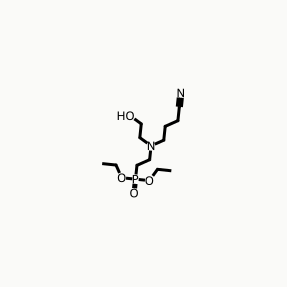 CCOP(=O)(CCN(CCO)CCCC#N)OCC